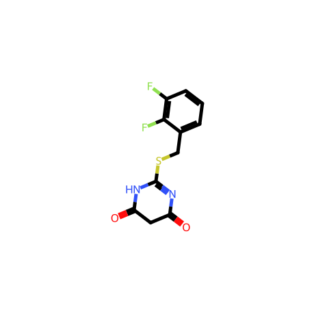 O=C1CC(=O)NC(SCc2cccc(F)c2F)=N1